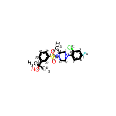 C[C@@H]1CN(c2ccc(F)cc2Cl)CCN1S(=O)(=O)c1cccc(C(C)(O)C(F)(F)F)c1